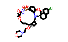 CC1(C)OC/C=C/[C@H](OCCN2CCOCC2)[C@@H]2CC[C@H]2CN2C[C@@]3(CCCc4cc(Cl)ccc43)COc3ccc(cc32)S(=O)(=O)NC1=O